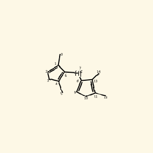 CC1=CCC(C)=[C]1[Hf][C]1=CCC(C)=C1C